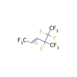 FC(F)(F)/C=C/C(F)(C(F)(F)F)C(F)(F)C(F)(F)F